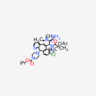 C=CN(C)/C(=C\N)C(NC(=O)C(C)(C)OC(C)=O)C1=Cc2cccnc2C(N2CCN(C(=O)OC(C)C)CC2)c2ccc(Cl)cc21